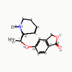 CCN1CCCCC1C(C)Oc1ccc2c(c1)COC2=O